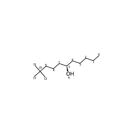 CCCCC[C@@H](O)CCCC(C)(C)C